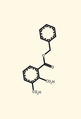 O=C(O)c1cccc(C(=O)OCc2ccccc2)c1C(=O)O